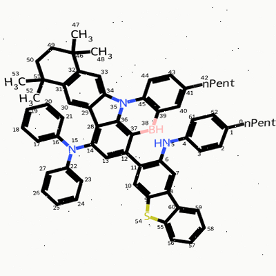 CCCCCc1ccc(Nc2cc3c(cc2-c2cc(N(c4ccccc4)c4ccccc4)c4c5cc6c(cc5n5c4c2Bc2cc(CCCCC)ccc2-5)C(C)(C)CCC6(C)C)sc2ccccc23)cc1